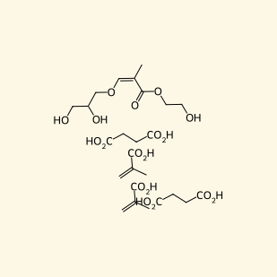 C=C(C)C(=O)O.C=C(C)C(=O)O.CC(=COCC(O)CO)C(=O)OCCO.O=C(O)CCC(=O)O.O=C(O)CCC(=O)O